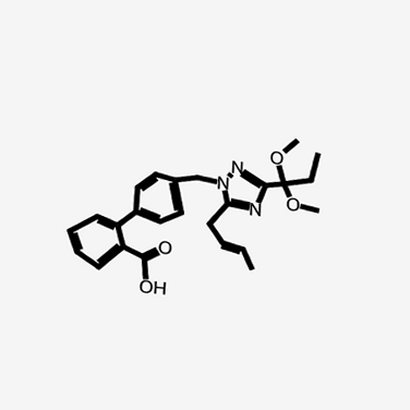 C/C=C/Cc1nc(C(CC)(OC)OC)nn1Cc1ccc(-c2ccccc2C(=O)O)cc1